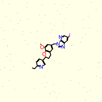 CCc1ccc(C2CCc3cc(Cn4cnc5cc(I)cnc54)cc(OC)c3O2)cn1